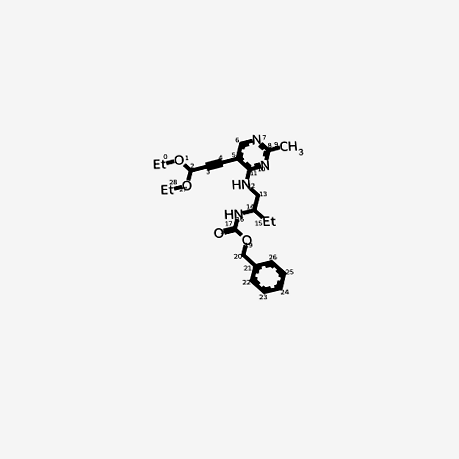 CCOC(C#Cc1cnc(C)nc1NCC(CC)NC(=O)OCc1ccccc1)OCC